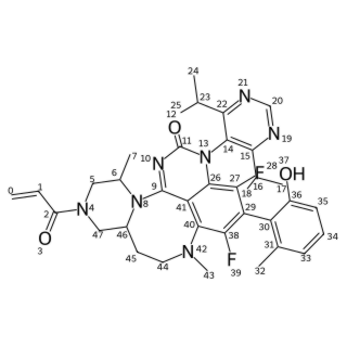 C=CC(=O)N1CC(C)N2c3nc(=O)n(-c4c(C(C)C)ncnc4C(C)C)c4c(F)c(-c5c(C)cccc5O)c(F)c(c34)N(C)CCC2C1